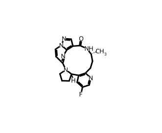 C[C@@H]1CCc2ncc(F)cc2[C@@H]2CCCN2c2ccn3ncc(c3n2)C(=O)N1